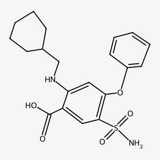 NS(=O)(=O)c1cc(C(=O)O)c(NCC2CCCCC2)cc1Oc1ccccc1